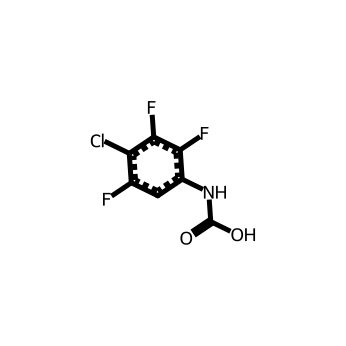 O=C(O)Nc1cc(F)c(Cl)c(F)c1F